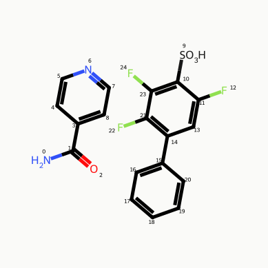 NC(=O)c1ccncc1.O=S(=O)(O)c1c(F)cc(-c2ccccc2)c(F)c1F